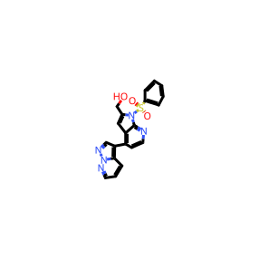 O=S(=O)(c1ccccc1)n1c(CO)cc2c(-c3cnn4ncccc34)ccnc21